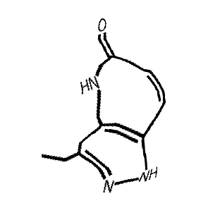 Cc1n[nH]c2ccc(=O)[nH]c12